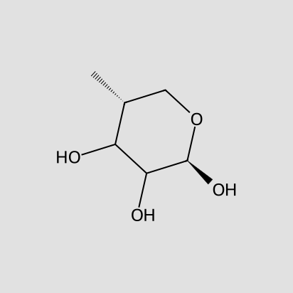 C[C@@H]1CO[C@@H](O)C(O)C1O